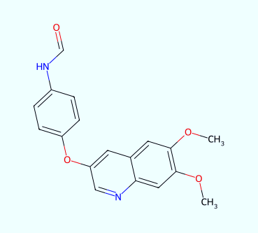 COc1cc2cc(Oc3ccc(NC=O)cc3)cnc2cc1OC